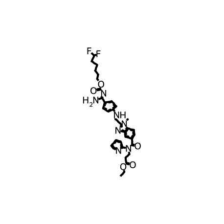 CCOC(=O)CCN(C(=O)c1ccc2c(c1)nc(CNc1ccc(/C(N)=N/C(=O)OCCCCCC(F)F)cc1)n2C)c1ccccn1